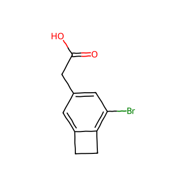 O=C(O)Cc1cc(Br)c2c(c1)CC2